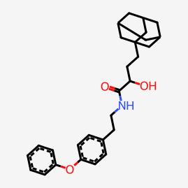 O=C(NCCc1ccc(Oc2ccccc2)cc1)C(O)CCC12CC3CC(CC(C3)C1)C2